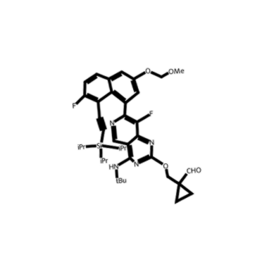 COCOc1cc(-c2ncc3c(NC(C)(C)C)nc(OCC4(C=O)CC4)nc3c2F)c2c(C#C[Si](C(C)C)(C(C)C)C(C)C)c(F)ccc2c1